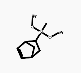 CC(C)O[Si](C)(OC(C)C)C1CC2C=CC1C2